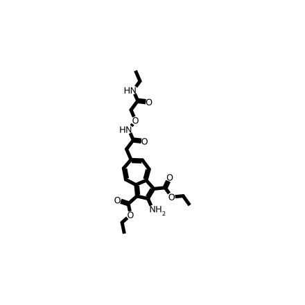 CCNC(=O)CONC(=O)Cc1ccc2c(C(=O)OCC)c(N)c(C(=O)OCC)c-2cc1